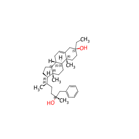 CC[C@]1(O)CC[C@@]2(C)C(=CC[C@H]3[C@@H]4CC[C@H]([C@H](C)CC[C@@](C)(O)Cc5ccccc5)[C@@]4(C)CC[C@@H]32)C1